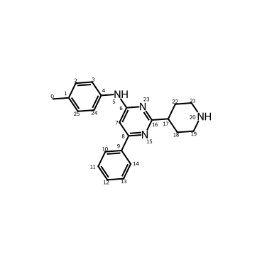 Cc1ccc(Nc2cc(-c3ccccc3)nc(C3CCNCC3)n2)cc1